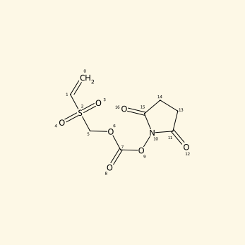 C=CS(=O)(=O)COC(=O)ON1C(=O)CCC1=O